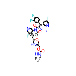 COC(=O)N(C(=O)[C@@H](N)[C@H](c1cncc(F)c1)c1ccc(F)c(F)c1)c1cncc(F)c1CC[C@@H]1CN[C@H](COC(=O)NCC(F)(F)F)CO1